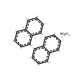 [MgH2].c1ccc2ccccc2c1.c1ccc2ccccc2c1